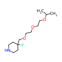 CC(C)OCCOCCOCC1(F)CCNCC1